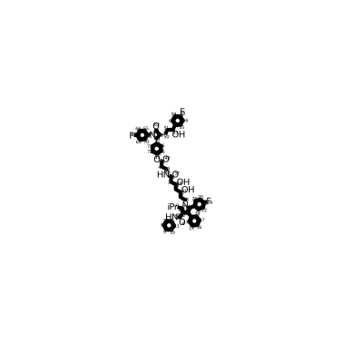 CC(C)c1c(C(=O)Nc2ccccc2)c(-c2ccccc2)c(-c2ccc(F)cc2)n1CC[C@@H](O)C[C@@H](O)CC(=O)NCCC(=O)Oc1ccc([C@@H]2[C@@H](CC[C@H](O)c3ccc(F)cc3)C(=O)N2c2ccc(F)cc2)cc1